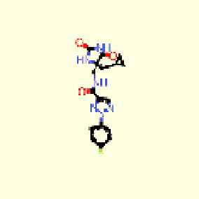 O=C1NC(=O)[C@](CNC(=O)c2cnn(-c3ccc(F)cc3)n2)(CC2CC2)N1